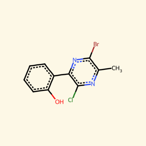 Cc1nc(Cl)c(-c2ccccc2O)nc1Br